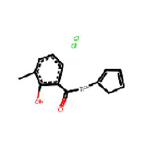 Cc1cccc([C](=O)[Ti+2][C]2=CC=CC2)c1O.[Cl-].[Cl-]